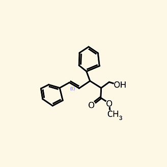 COC(=O)C(CO)C(/C=C/c1ccccc1)c1ccccc1